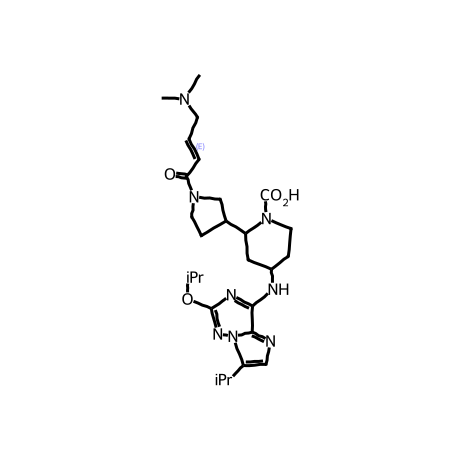 CC(C)Oc1nc(NC2CCN(C(=O)O)C(C3CCN(C(=O)/C=C/CN(C)C)C3)C2)c2ncc(C(C)C)n2n1